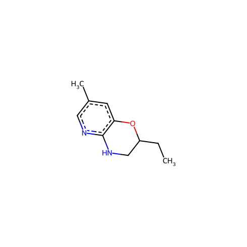 CCC1CNc2ncc(C)cc2O1